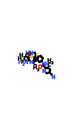 Cc1cc(C#N)cnc1C(=O)Nc1ccc(F)c([C@@]2(C)N=C(N)C(C)(C)[SH]3(=O)NCC[C@H]23)c1